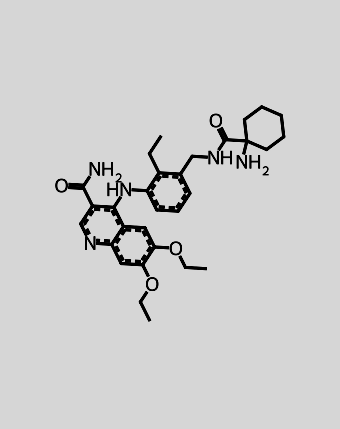 CCOc1cc2ncc(C(N)=O)c(Nc3cccc(CNC(=O)C4(N)CCCCC4)c3CC)c2cc1OCC